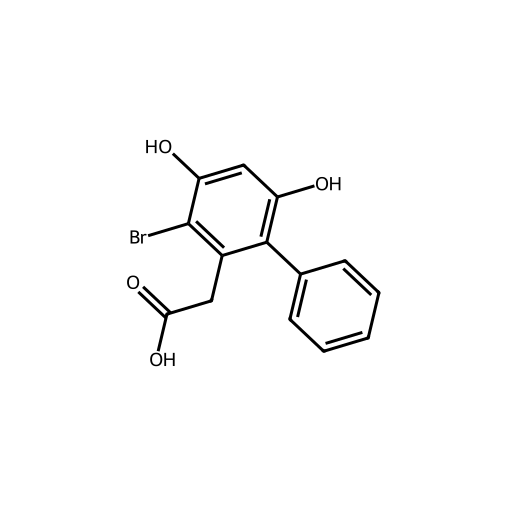 O=C(O)Cc1c(Br)c(O)cc(O)c1-c1ccccc1